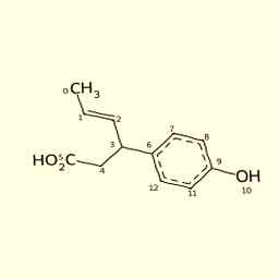 C/C=C/C(CC(=O)O)c1ccc(O)cc1